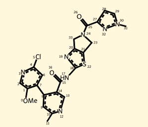 COc1cnc(Cl)cc1-c1cc(C)ncc1C(=O)Nc1nc2c(s1)CN(C(=O)c1ccn(C)n1)C2